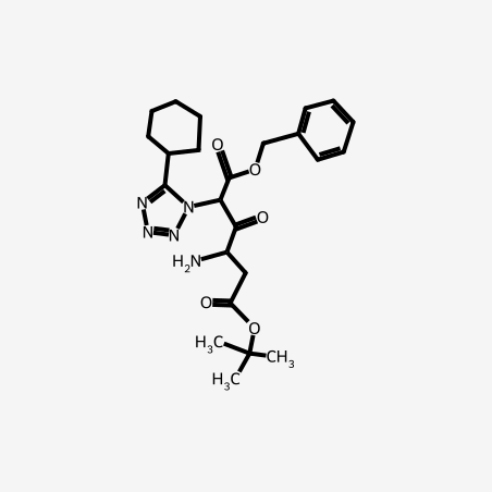 CC(C)(C)OC(=O)CC(N)C(=O)C(C(=O)OCc1ccccc1)n1nnnc1C1CCCCC1